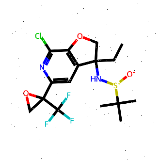 CCC1(N[S+]([O-])C(C)(C)C)COc2c1cc(C1(C(F)(F)F)CO1)nc2Cl